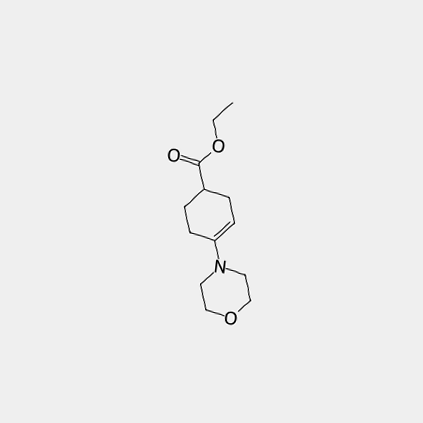 CCOC(=O)C1CC=C(N2CCOCC2)CC1